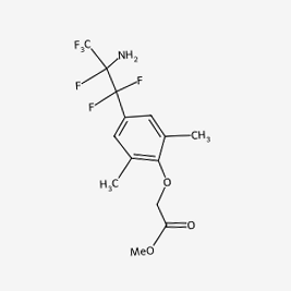 COC(=O)COc1c(C)cc(C(F)(F)C(N)(F)C(F)(F)F)cc1C